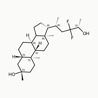 C[C@H](CC(F)(F)[C@H](C)O)[C@H]1CCC2[C@@H]3CC[C@H]4C[C@@](C)(O)CC[C@]4(C)[C@H]3CC[C@@]21C